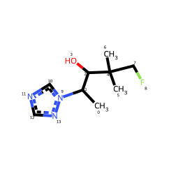 CC(C(O)C(C)(C)CF)n1cncn1